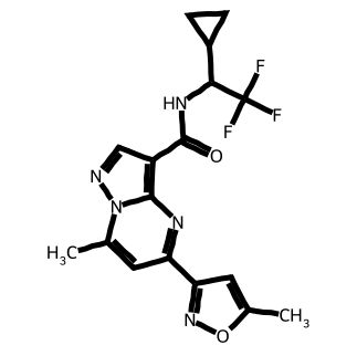 Cc1cc(-c2cc(C)n3ncc(C(=O)NC(C4CC4)C(F)(F)F)c3n2)no1